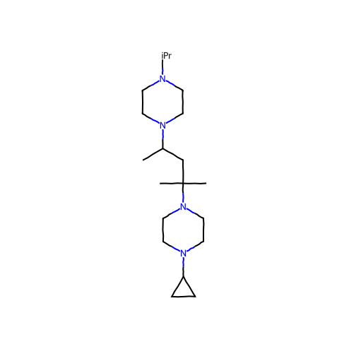 CC(C)N1CCN(C(C)CC(C)(C)N2CCN(C3CC3)CC2)CC1